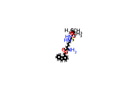 CC(C)(C)OC(=O)NC(=S)NCCCCC(N)C(=O)OCc1cccc2c1-c1ccccc1C2